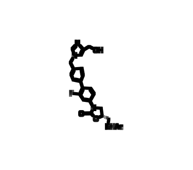 CC(=O)NC[C@H]1CN(c2ccc(-c3ccc(Cn4cnc(CO)c4)cc3)c(F)c2)C(=O)O1